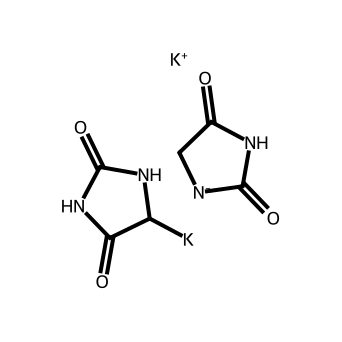 O=C1C[N-]C(=O)N1.O=C1NC(=O)[CH]([K])N1.[K+]